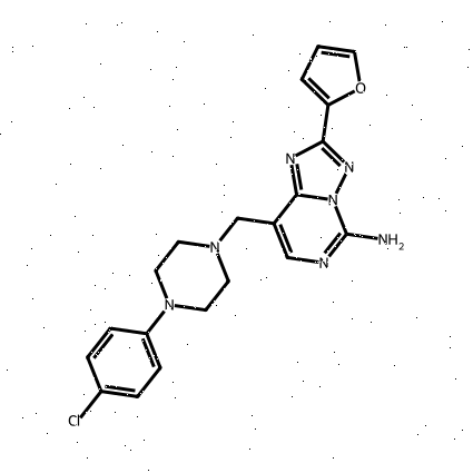 Nc1ncc(CN2CCN(c3ccc(Cl)cc3)CC2)c2nc(-c3ccco3)nn12